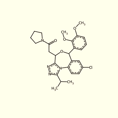 COc1cccc(C2OC(CC(=O)N3CCCC3)c3nnc(C(C)C)n3-c3ccc(Cl)cc32)c1OC